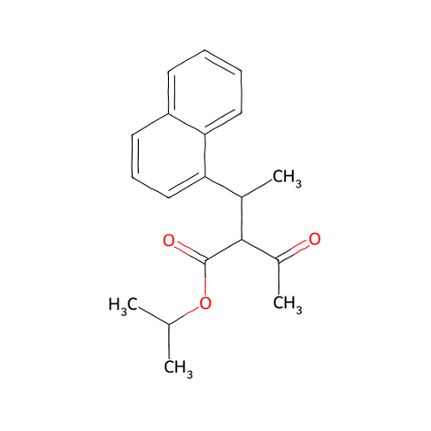 CC(=O)C(C(=O)OC(C)C)C(C)c1cccc2ccccc12